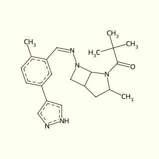 Cc1ccc(-c2cn[nH]c2)cc1/C=N\N1CC2CC(C)N(C(=O)C(C)(C)C)C21